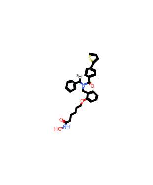 [2H]C(c1ccccc1)N(Cc1ccccc1OCCCCCC(=O)NO)C(=O)c1ccc(-c2cccs2)cc1